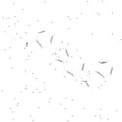 CCOC(=O)c1cccc(-n2c(C)cc(/C=C3/NC(=O)N(c4ccccc4)C3=O)c2C)c1